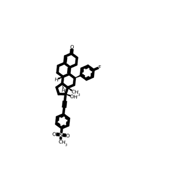 C[C@]12C[C@H](c3ccc(F)cc3)C3=C4CCC(=O)C=C4CC[C@H]3[C@@H]1CC[C@@]2(O)C#Cc1ccc(S(C)(=O)=O)cc1